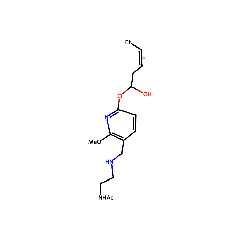 CC/C=C\CC(O)Oc1ccc(CNCCNC(C)=O)c(OC)n1